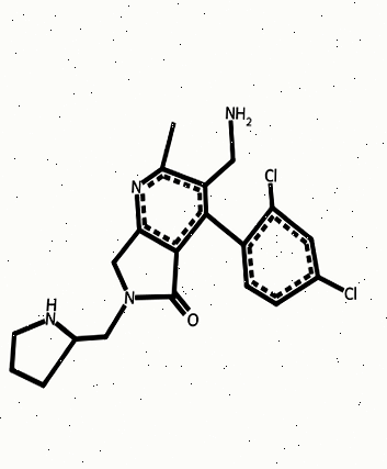 Cc1nc2c(c(-c3ccc(Cl)cc3Cl)c1CN)C(=O)N(CC1CCCN1)C2